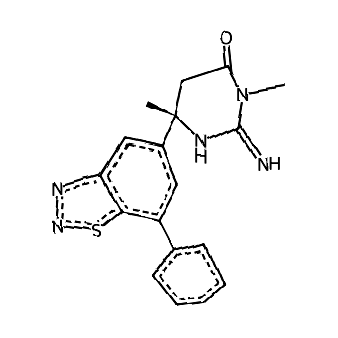 CN1C(=N)N[C@](C)(c2cc(-c3ccccc3)c3snnc3c2)CC1=O